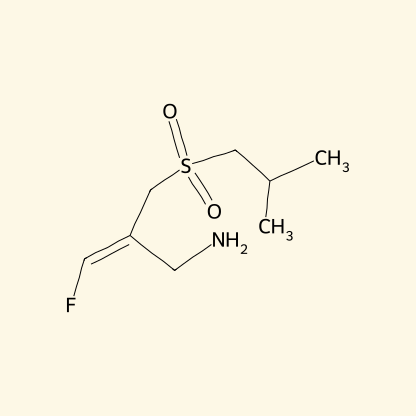 CC(C)CS(=O)(=O)C/C(=C/F)CN